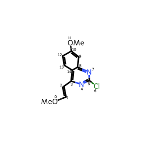 COC=Cc1nc(Cl)nc2cc(OC)ccc12